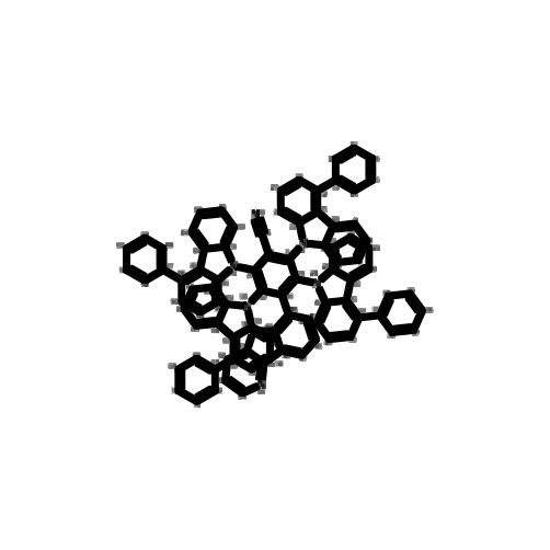 N#Cc1c(-n2c3ccccc3c3c(-c4ccccc4)cccc32)c(-n2c3ccccc3c3c(-c4ccccc4)cccc32)c(-c2cccc3c2sc2cccnc23)c(-n2c3ccccc3c3c(-c4ccccc4)cccc32)c1-n1c2ccccc2c2c(-c3ccccc3)cccc21